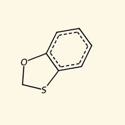 c1ccc2c(c1)OCS2